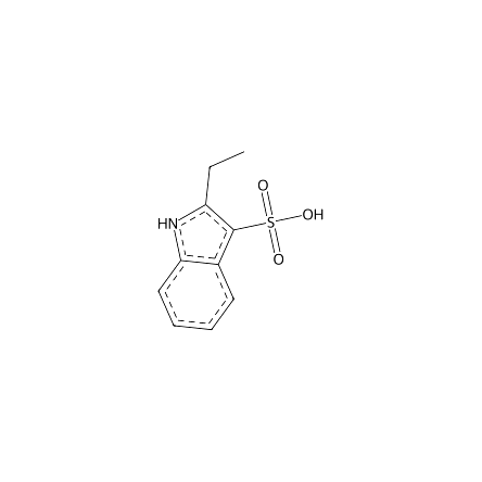 CCc1[nH]c2ccccc2c1S(=O)(=O)O